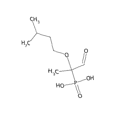 CC(C)CCOC(C)(C=O)P(=O)(O)O